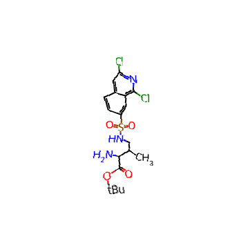 CC(CNS(=O)(=O)c1ccc2cc(Cl)nc(Cl)c2c1)[C@H](N)C(=O)OC(C)(C)C